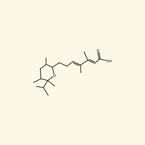 CC(=C\CCC1OC(C)(C(C)C)C(C)CC1C)/C(C)=C/C(=O)O